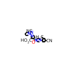 Cc1cc(C#N)ccc1N1CCN(C(=O)[C@H]2CCN(C(=NC#N)N3CCCCC3)C[C@@H]2C(=O)O)CC1